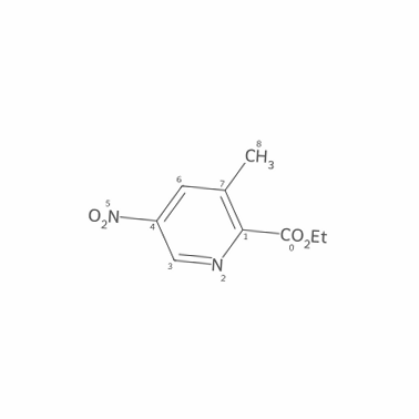 CCOC(=O)c1ncc([N+](=O)[O-])cc1C